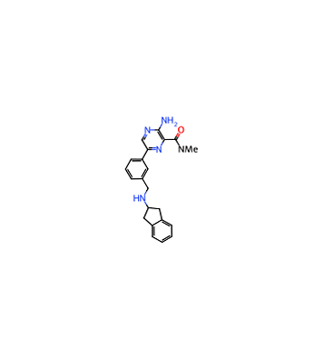 CNC(=O)c1nc(-c2cccc(CNC3Cc4ccccc4C3)c2)cnc1N